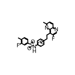 Cc1ccc2ncc(F)c(CCC34CCC(NS(=O)(=O)c5ccc(C)c(F)c5)(CC3)CO4)c2n1